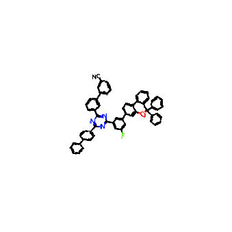 N#Cc1cccc(-c2cccc(-c3nc(-c4ccc(-c5ccccc5)cc4)nc(-c4cc(F)cc(-c5ccc6c(c5)OC(c5ccccc5)(c5ccccc5)c5ccccc5-6)c4)n3)c2)c1